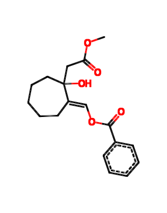 COC(=O)CC1(O)CCCCCC1=COC(=O)c1ccccc1